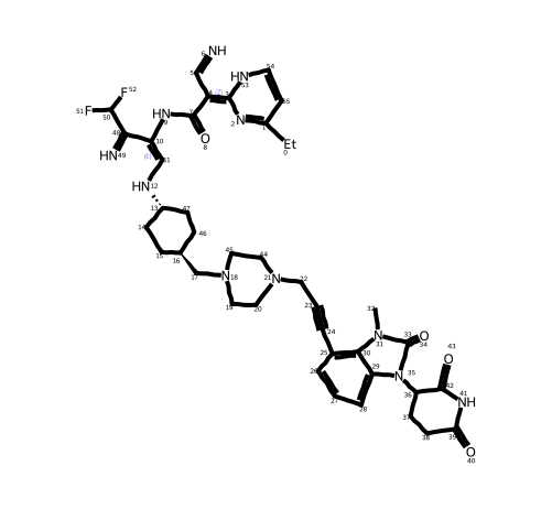 CCC1=N/C(=C(/C=N)C(=O)N/C(=C/N[C@H]2CC[C@H](CN3CCN(CC#Cc4cccc5c4n(C)c(=O)n5C4CCC(=O)NC4=O)CC3)CC2)C(=N)C(F)F)NC=C1